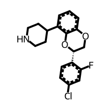 Fc1cc(Cl)ccc1[C@H]1COc2cccc(C3CCNCC3)c2O1